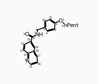 CCCCCOc1ccc(CNC(=O)c2ccc3ncccc3c2)cc1